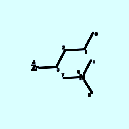 CCC[CH2][Zr].CN(C)C